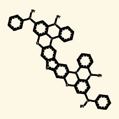 CC(C)N(c1ccccc1)c1cc2c3c(c1)N(C(C)C)c1ccccc1B3c1cc3c(cc1O2)sc1cc2c(cc13)B1c3ccccc3N(C(C)C)c3cc(N(c4ccccc4)C(C)C)cc(c31)O2